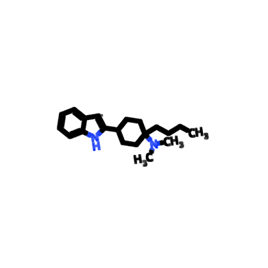 CCCCC1(N(C)C)CCC(c2[c]c3ccccc3[nH]2)CC1